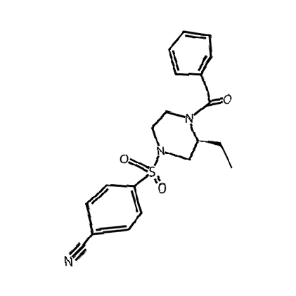 CC[C@H]1CN(S(=O)(=O)c2ccc(C#N)cc2)CCN1C(=O)c1ccccc1